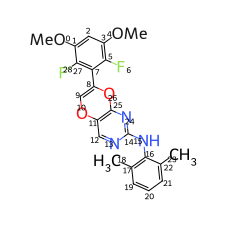 COc1cc(OC)c(F)c(C2=COc3cnc(Nc4c(C)cccc4C)nc3O2)c1F